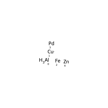 [AlH3].[Cu].[Fe].[Pd].[Zn]